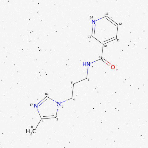 Cc1cn(CCCNC(=O)c2cccnc2)cn1